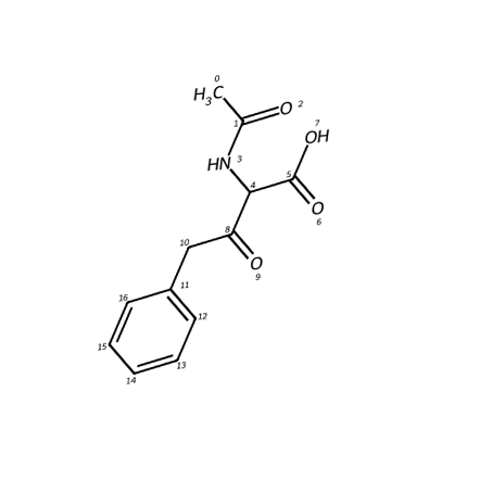 CC(=O)NC(C(=O)O)C(=O)Cc1ccccc1